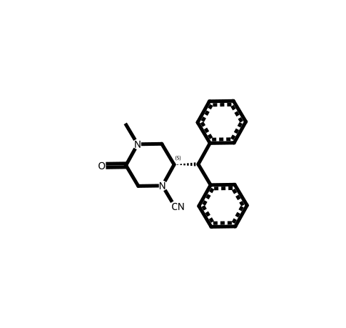 CN1C[C@H](C(c2ccccc2)c2ccccc2)N(C#N)CC1=O